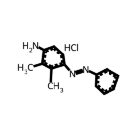 Cc1c(N)ccc(/N=N/c2ccccc2)c1C.Cl